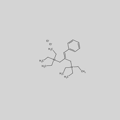 CC[N+](CC)(CC)CC(=Cc1ccccc1)C[N+](CC)(CC)CC.[Cl-].[Cl-]